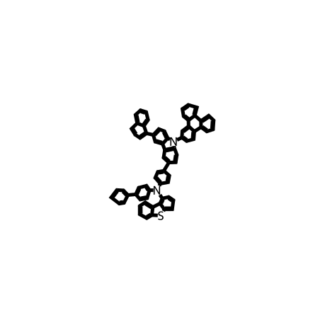 c1ccc(-c2ccc(N(c3ccc(-c4ccc5c(c4)c4cc(-c6cccc7ccccc67)ccc4n5-c4ccc5c6ccccc6c6ccccc6c5c4)cc3)c3cccc4sc5ccccc5c34)cc2)cc1